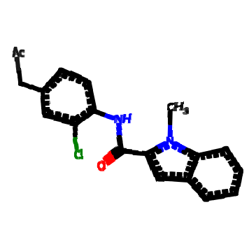 CC(=O)Cc1ccc(NC(=O)c2cc3ccccc3n2C)c(Cl)c1